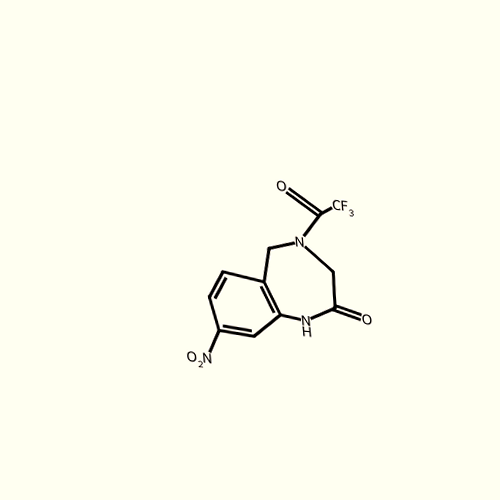 O=C1CN(C(=O)C(F)(F)F)Cc2ccc([N+](=O)[O-])cc2N1